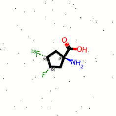 N[C@]1(C(=O)O)C[C@@H]([18F])[C@@H](F)C1